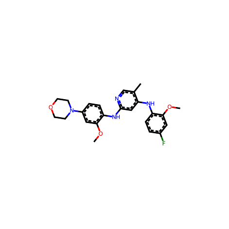 COc1cc(N2CCOCC2)ccc1Nc1cc(Nc2ccc(F)cc2OC)c(C)cn1